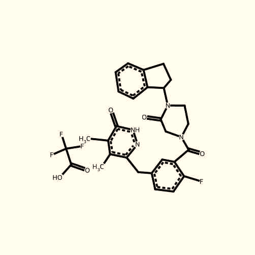 Cc1c(Cc2ccc(F)c(C(=O)N3CCN(C4CCc5ccccc54)C(=O)C3)c2)n[nH]c(=O)c1C.O=C(O)C(F)(F)F